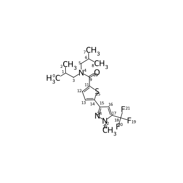 CC(C)CN(CC(C)C)C(=O)c1ccc(-c2cc(C(F)(F)F)n(C)n2)s1